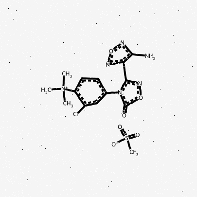 C[N+](C)(C)c1ccc(-n2c(-c3nonc3N)noc2=O)cc1Cl.O=S(=O)([O-])C(F)(F)F